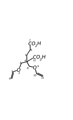 C=COCC(CCC(=O)O)(COC=C)C(=O)O